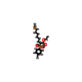 CCOC(=O)C(CCCCCCSC)S(=O)(=O)c1ccc(C)cc1